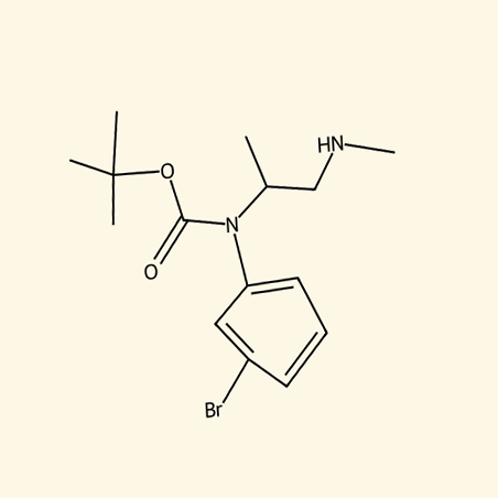 CNCC(C)N(C(=O)OC(C)(C)C)c1cccc(Br)c1